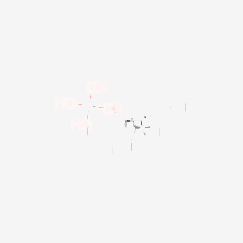 CC(=O)O.CC(=O)O.CC(=O)O.CC(=O)O.O[Si](O)(O)O